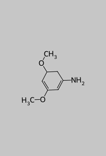 COC1=CC(OC)CC(N)=C1